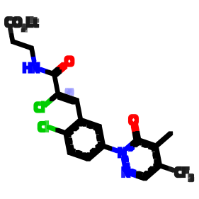 CCOC(=O)CCNC(=O)/C(Cl)=C/c1cc(-n2ncc(C(F)(F)F)c(C)c2=O)ccc1Cl